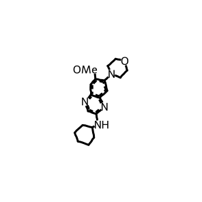 COc1cc2ncc(NC3CCCCC3)nc2cc1N1CCOCC1